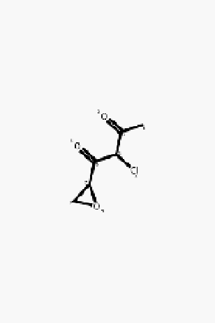 CC(=O)C(Cl)C(=O)C1CO1